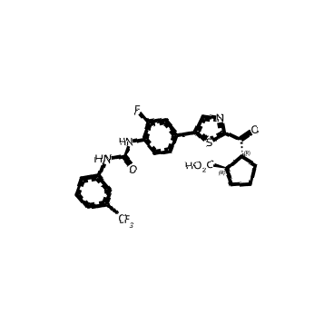 O=C(Nc1cccc(C(F)(F)F)c1)Nc1ccc(-c2cnc(C(=O)[C@@H]3CCC[C@H]3C(=O)O)s2)cc1F